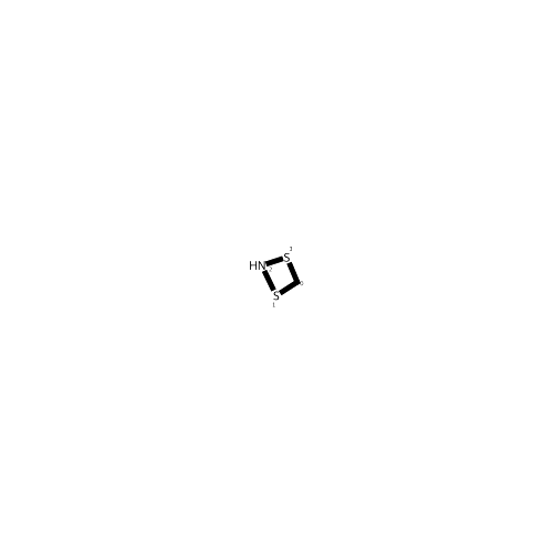 C1SNS1